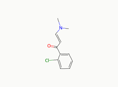 CN(C)/C=C/C(=O)c1ccccc1Cl